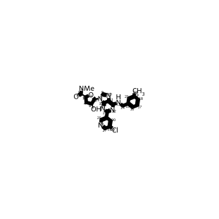 CNC(=O)[C@@H]1C[C@@H](O)[C@H](n2cnc3c(NCc4cccc(C)c4)nc(-c4cncc(Cl)c4)nc32)O1